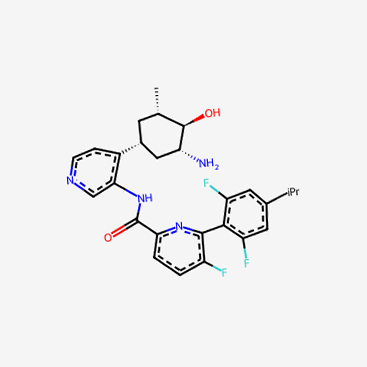 CC(C)c1cc(F)c(-c2nc(C(=O)Nc3cnccc3[C@H]3C[C@@H](N)[C@H](O)[C@@H](C)C3)ccc2F)c(F)c1